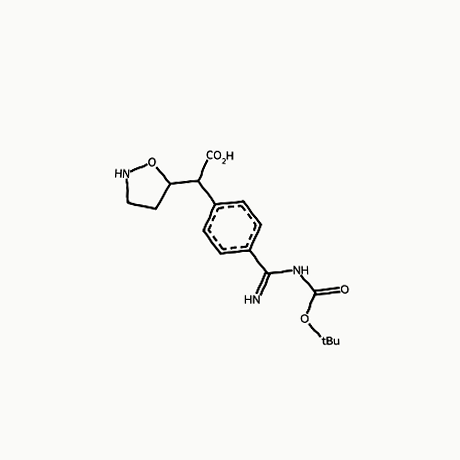 CC(C)(C)OC(=O)NC(=N)c1ccc(C(C(=O)O)C2CCNO2)cc1